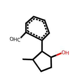 CC1CCC(O)C1c1ccccc1C=O